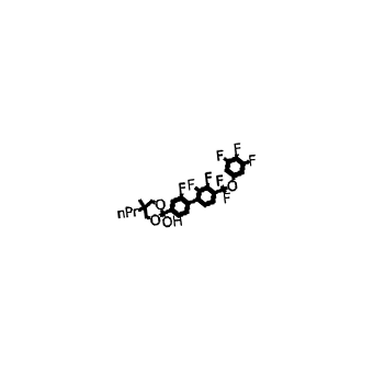 CCCC1(C)COC(O)(c2ccc(-c3ccc(C(F)(F)Oc4cc(F)c(F)c(F)c4)c(F)c3F)c(F)c2)OC1